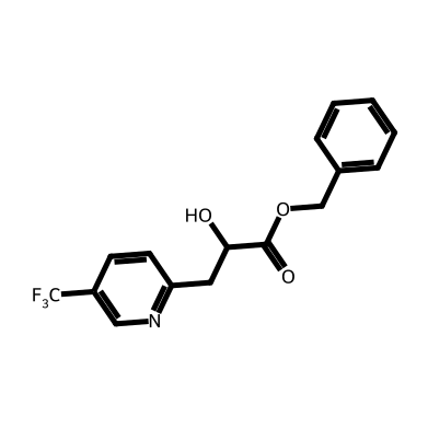 O=C(OCc1ccccc1)C(O)Cc1ccc(C(F)(F)F)cn1